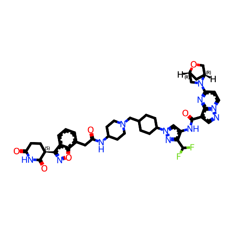 O=C1CC[C@@H](c2noc3c(CC(=O)NC4CCN(CC5CCC(n6cc(NC(=O)c7cnn8ccc(N9C[C@H]%10C[C@@H]9CO%10)nc78)c(C(F)F)n6)CC5)CC4)cccc23)C(=O)N1